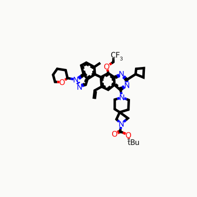 C=Cc1cc2c(N3CCC4(CC3)CN(C(=O)OC(C)(C)C)C4)nc(C3CCC3)nc2c(OCC(F)(F)F)c1-c1c(C)ccc2c1cnn2C1CCCCO1